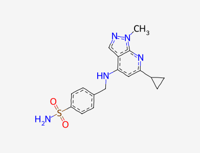 Cn1ncc2c(NCc3ccc(S(N)(=O)=O)cc3)cc(C3CC3)nc21